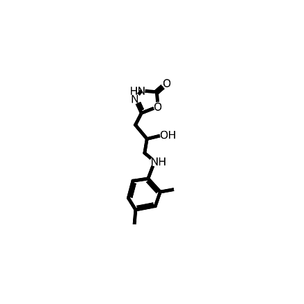 Cc1ccc(NCC(O)Cc2n[nH]c(=O)o2)c(C)c1